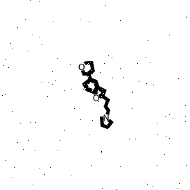 C1=C(c2ccc3oc(CCCN4CCCC4)cc3c2)COCC1